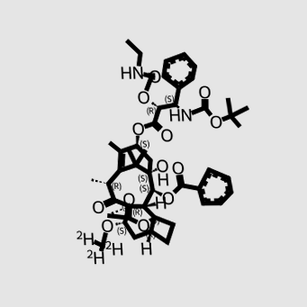 [2H]C([2H])([2H])O[C@H]1C[C@H]2CC[C@@]2(OC(C)=O)[C@H]2[C@H](OC(=O)c3ccccc3)[C@]3(O)C[C@H](OC(=O)[C@H](OC(=O)NCC)[C@@H](NC(=O)OC(C)(C)C)c4ccccc4)C(C)=C([C@@H](C)C(=O)[C@]12C)C3(C)C